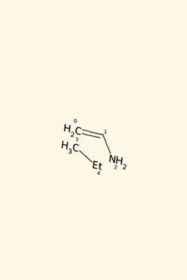 C=CN.CCC